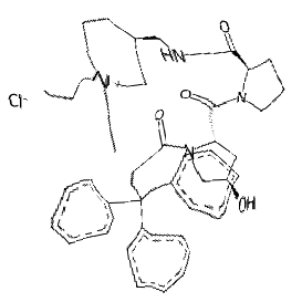 CC[N+]1(CC)CCC[C@@H](CNC(=O)[C@H]2CCCN2C(=O)[C@@H]2C[C@@H](O)CN2C(=O)CC(c2ccccc2)(c2ccccc2)c2ccccc2)C1.[Cl-]